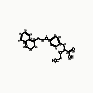 CCOC(Cc1ccc(OCCC2=c3ccccc3=NCC2)cc1)C(=O)O